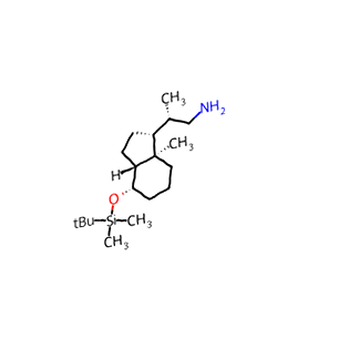 C[C@H](CN)[C@H]1CC[C@H]2[C@@H](O[Si](C)(C)C(C)(C)C)CCC[C@]12C